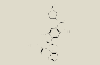 CCN(c1cc(F)c(S(=O)(=O)N(C(=O)OC(C)(C)C)c2cscn2)cc1C)C1CCN(C(=O)O)C1